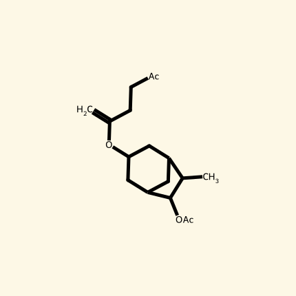 C=C(CCC(C)=O)OC1CC2CC(C1)C(OC(C)=O)C2C